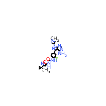 CN1CC(n2nc(-c3ccc(NC(=O)Nc4cc(C5(C)CC5)no4)c(F)c3)c3c(N)ncnc32)C1